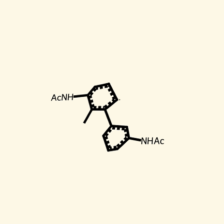 CC(=O)Nc1cccc(-c2[c]ccc(NC(C)=O)c2C)c1